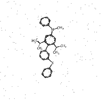 CC(C)c1cc(N(C)c2ccccc2)cc(C(C)C)c1-c1[c]ccc(Sc2ccccc2)c1